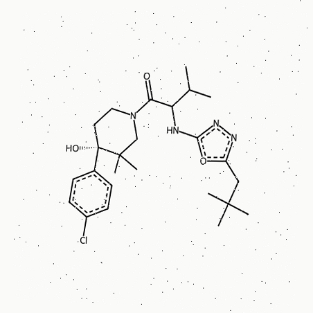 CC(C)C(Nc1nnc(CC(C)(C)C)o1)C(=O)N1CC[C@](O)(c2ccc(Cl)cc2)C(C)(C)C1